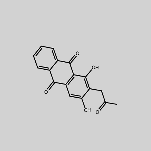 CC(=O)Cc1c(O)cc2c(c1O)C(=O)c1ccccc1C2=O